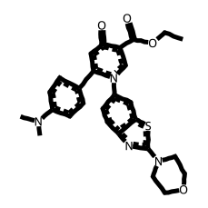 CCOC(=O)c1cn(-c2ccc3nc(N4CCOCC4)sc3c2)c(-c2ccc(N(C)C)cc2)cc1=O